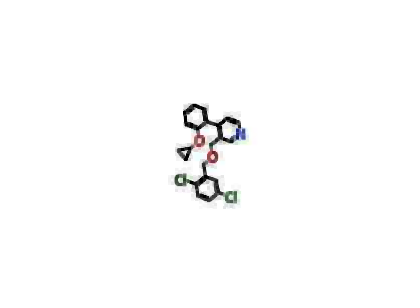 Clc1ccc(Cl)c(COCc2cnccc2-c2ccccc2OC2CC2)c1